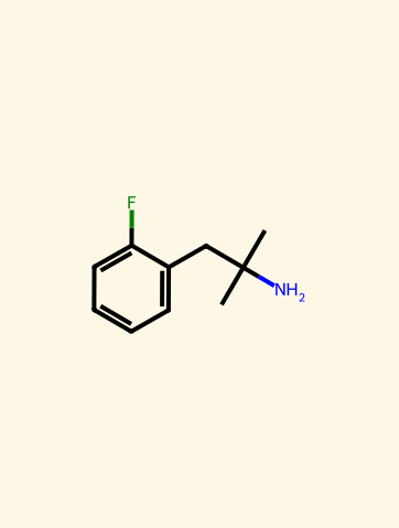 CC(C)(N)Cc1ccccc1F